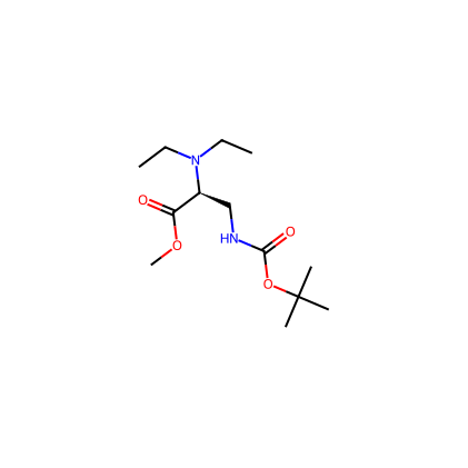 CCN(CC)[C@@H](CNC(=O)OC(C)(C)C)C(=O)OC